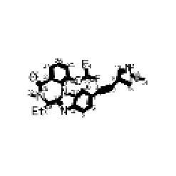 CC[C@@H]1c2nc3ccc(C#Cc4cnn(C)c4)cc3n2-c2c(OC(F)F)cccc2C(=O)N1C